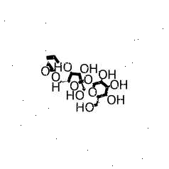 C1CO1.C=CC.OC[C@H]1O[C@@](CO)(O[C@H]2O[C@H](CO)[C@@H](O)[C@H](O)[C@H]2O)[C@@H](O)[C@@H]1O